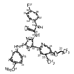 COc1ccc(Nc2nc(NC(=O)Nc3ccc(F)cc3)c(-c3cc(C)c(OCC(F)(F)F)cn3)s2)cc1